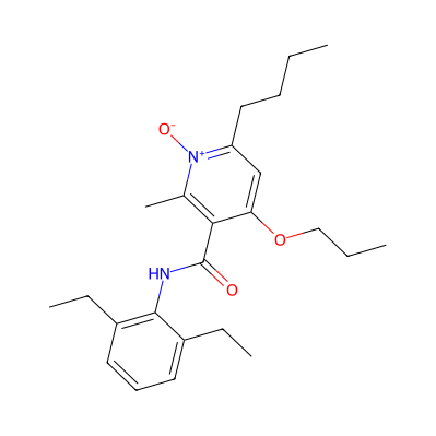 CCCCc1cc(OCCC)c(C(=O)Nc2c(CC)cccc2CC)c(C)[n+]1[O-]